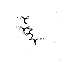 COC(=O)N(C)CC(=O)N[C@@H](CCC(N)=O)C(N)=O